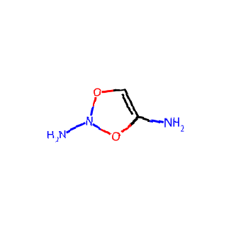 NC1=CON(N)O1